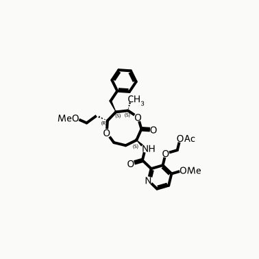 COCC[C@H]1OCC[C@H](NC(=O)c2nccc(OC)c2OCOC(C)=O)C(=O)O[C@@H](C)[C@@H]1Cc1ccccc1